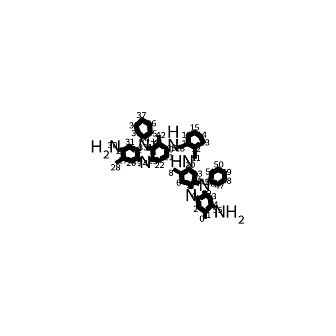 Cc1cc2nc3cc(C)c(NCc4ccccc4CNc4ccc5nc6cc(C)c(N)cc6[n+](-c6ccccc6)c5c4C)cc3[n+](-c3ccccc3)c2cc1N